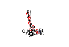 CCOCCOCCOCCC(=O)OC(CC(CC)OON(CC)CC)c1ccccc1[N+](=O)[O-]